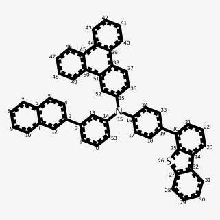 c1cc(-c2ccc3ccccc3c2)cc(N(c2ccc(-c3cccc4c3sc3ccccc34)cc2)c2ccc3c4ccccc4c4ccccc4c3c2)c1